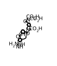 N=C(N)Nc1ccc2c(c1)CCCOc1c(cccc1C(=O)N(CC(=O)O)Cc1cccc(C(=O)N(CC(=O)O)CC(=O)O)c1)OC2=O